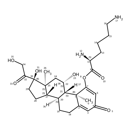 C[C@@]12C(=CC(=O)C=C1OC(=O)[C@@H](N)CCCCN)CC[C@@H]1[C@@H]2[C@@H](O)C[C@@]2(C)[C@H]1CC[C@]2(O)C(=O)CO